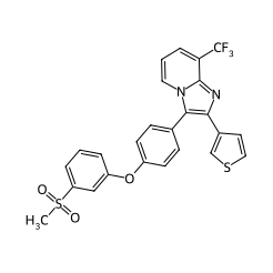 CS(=O)(=O)c1cccc(Oc2ccc(-c3c(-c4ccsc4)nc4c(C(F)(F)F)cccn34)cc2)c1